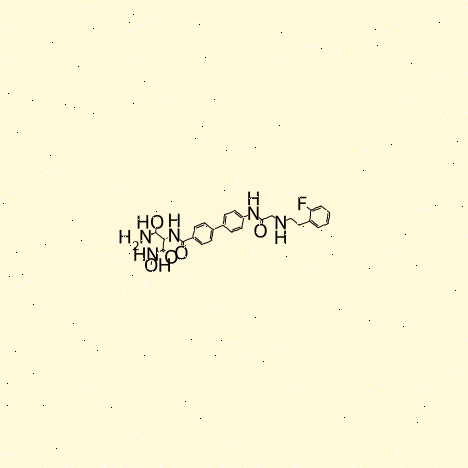 N[C@@H](O)[C@H](NC(=O)c1ccc(-c2ccc(NC(=O)CNCCc3ccccc3F)cc2)cc1)C(=O)NO